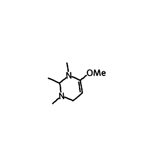 COC1=CCN(C)C(C)N1C